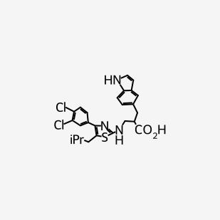 CC(C)Cc1sc(NCC(Cc2ccc3[nH]ccc3c2)C(=O)O)nc1-c1ccc(Cl)c(Cl)c1